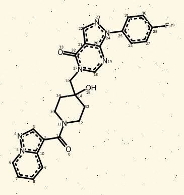 O=C(c1cnn2ccccc12)N1CCC(O)(Cn2cnc3c(cnn3-c3ccc(F)cc3)c2=O)CC1